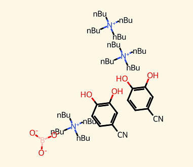 CCCC[N+](CCCC)(CCCC)CCCC.CCCC[N+](CCCC)(CCCC)CCCC.CCCC[N+](CCCC)(CCCC)CCCC.N#Cc1ccc(O)c(O)c1.N#Cc1ccc(O)c(O)c1.[O-]B([O-])[O-]